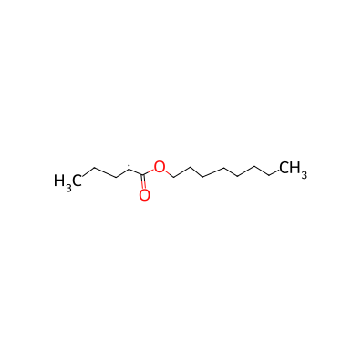 CCC[CH]C(=O)OCCCCCCCC